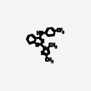 Cc1cc(C)n(-c2nc(Nc3ccc(C(F)(F)F)cc3)c3ccccc3n2)n1